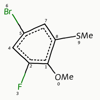 COc1c(F)cc(Br)cc1SC